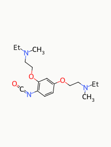 CCN(C)CCOc1ccc(N=C=O)c(OCCN(C)CC)c1